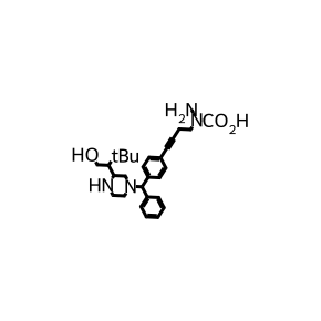 CC(C)(C)C(CO)C1CN(C(c2ccccc2)c2ccc(C#CCCN(N)C(=O)O)cc2)CCN1